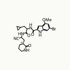 COc1cc(Br)cc2[nH]c(C(=O)NC(CC3CC3)C(=O)NC(C#N)C[C@@H]3CCCNC3=O)cc12